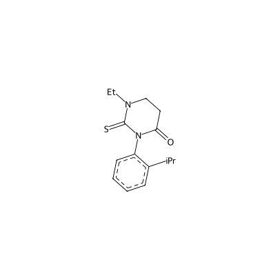 CCN1CCC(=O)N(c2ccccc2C(C)C)C1=S